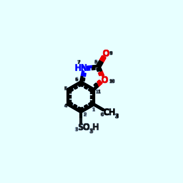 Cc1c(S(=O)(=O)O)ccc2[nH]c(=O)oc12